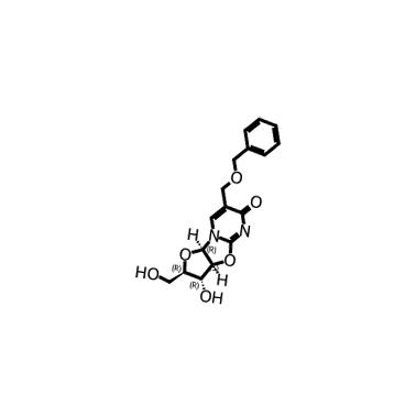 O=c1nc2n(cc1COCc1ccccc1)[C@@H]1O[C@H](CO)[C@@H](O)[C@@H]1O2